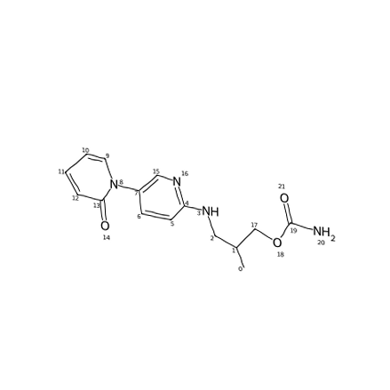 CC(CNc1ccc(-n2ccccc2=O)cn1)COC(N)=O